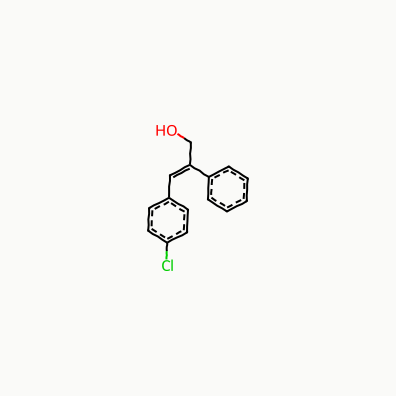 OC/C(=C/c1ccc(Cl)cc1)c1ccccc1